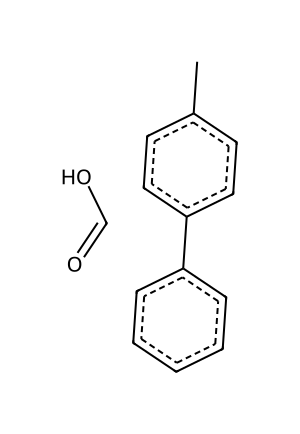 Cc1ccc(-c2ccccc2)cc1.O=CO